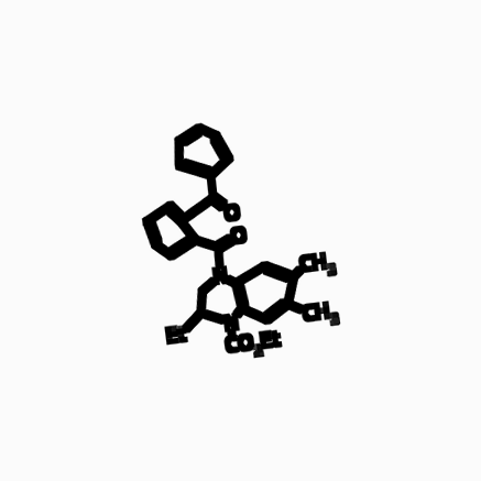 CCOC(=O)N1c2cc(C)c(C)cc2N(C(=O)c2ccccc2C(=O)c2ccccc2)CC1CC